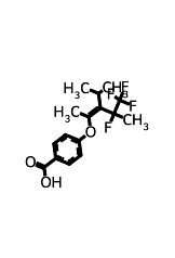 CC(Oc1ccc(C(=O)O)cc1)=C(C(C)C)C(C)(F)C(F)(F)F